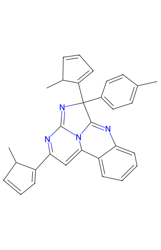 Cc1ccc(C2(C3=CC=CC3C)N=C3N=C(C4=CC=CC4C)C=C4c5ccccc5N=C2N43)cc1